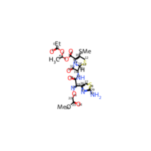 CCC(=O)OC(C)OC(=O)C1=C(SC)CS[C@@H]2C(NC(=O)/C(=N/OCC(=O)OC)c3csc(N)n3)C(=O)N12